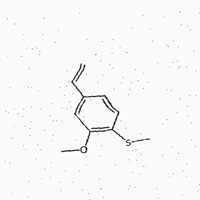 C=[C]c1ccc(SC)c(OC)c1